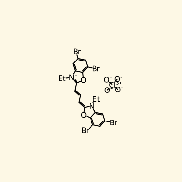 CCN1C(=CC=Cc2oc3c(Br)cc(Br)cc3[n+]2CC)Oc2c(Br)cc(Br)cc21.[O-][Cl+3]([O-])([O-])[O-]